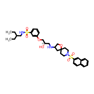 CCC(CC)CNS(=O)(=O)c1cccc(OC[C@@H](O)CNC2COC3(CCN(S(=O)(=O)c4ccc5ccccc5c4)CC3)C2)c1